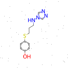 Oc1ccc(SCCCNn2cnnc2)cc1